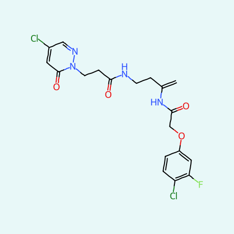 C=C(CCNC(=O)CCn1ncc(Cl)cc1=O)NC(=O)COc1ccc(Cl)c(F)c1